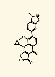 COc1c(-c2ccc3c(c2)CN[C@@H]3C)ccc2c(=O)c3c(=O)[nH]sc3n(C3CC3)c12